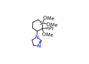 CCCC1(OC)C(N2C=NCC2)CCC[Si]1(OC)OC